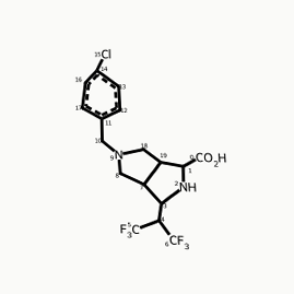 O=C(O)C1NC(C(C(F)(F)F)C(F)(F)F)C2CN(Cc3ccc(Cl)cc3)CC12